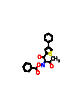 CC(=O)C(=NOC(=O)c1ccccc1)C(=O)c1cc(-c2ccccc2)cs1